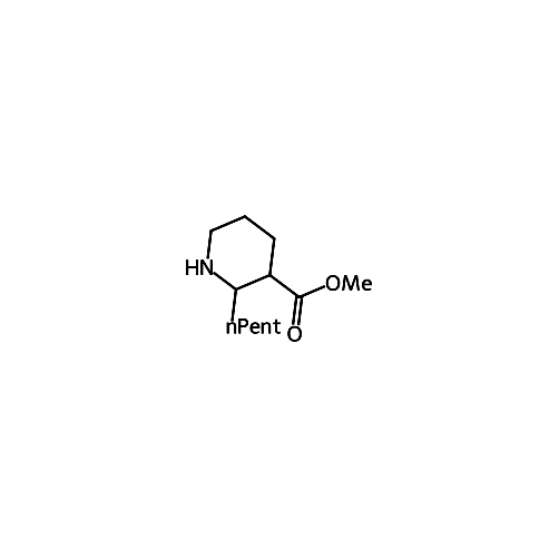 CCCCCC1NCCCC1C(=O)OC